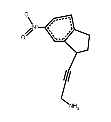 NCC#CC1CCc2ccc([N+](=O)[O-])cc21